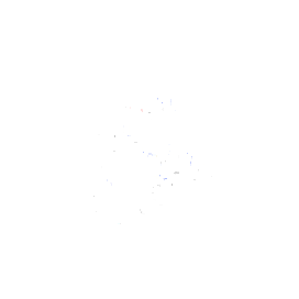 NC(=O)c1cnc(N[C@@H]2CCCC[C@@H]2N)nc1Nc1cccc(N2CCOc3ccccc32)c1